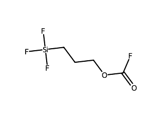 O=C(F)OCCC[Si](F)(F)F